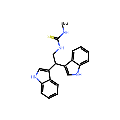 CCCCNC(=S)NCC(c1c[nH]c2ccccc12)c1c[nH]c2ccccc12